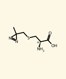 CC1(CSC[C@H](N)C(=O)O)N=N1